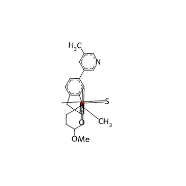 COC1CCC2(CC1)Cc1ccc(-c3cncc(C)c3)cc1C21NC(=S)N(C)C1=O